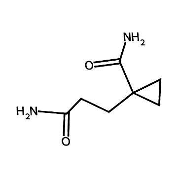 NC(=O)CCC1(C(N)=O)CC1